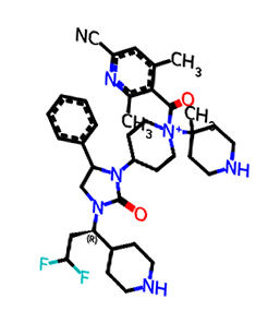 Cc1cc(C#N)nc(C)c1C(=O)[N+]1(C2(C)CCNCC2)CCC(N2C(=O)N([C@H](CC(F)F)C3CCNCC3)CC2c2ccccc2)CC1